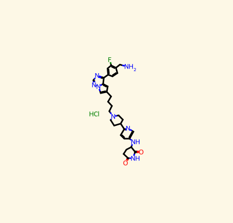 Cl.NCc1ccc(-c2ncnn3cc(CCCCN4CCC(c5ccc(NC6CCC(=O)NC6=O)cn5)CC4)cc23)cc1F